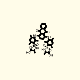 Cc1cc(C)c(S(=O)(=O)NC(C)C(=O)O)c(C)c1Nc1ccc(Nc2c(C)cc(C)c(S(=O)(=O)NC(C)C(=O)O)c2C)c2c1C(=O)c1ccccc1C2=O